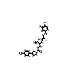 O=C(COc1ccc(Cl)c(F)c1)NCC(O)CCC(=O)N1CCC(c2ccc(Cl)cc2)C1